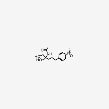 CC(=O)NC(CO)(CO)CCCc1ccc([N+](=O)[O-])cc1